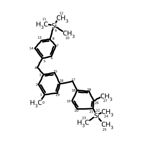 Cc1cc(Cc2ccc([Si](C)(C)C)cc2)cc(Cc2ccc([Si](C)(C)C)c(C)c2)c1